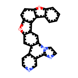 c1ccc2c(c1)oc1ccc3oc4cc5c6ccncc6c6nccn6c5cc4c3c12